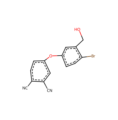 N#Cc1ccc(Oc2ccc(Br)c(CO)c2)cc1C#N